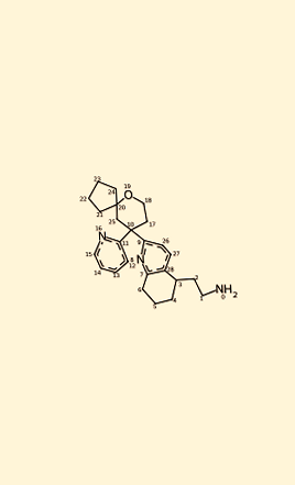 NCCC1CCCc2nc(C3(c4ccccn4)CCOC4(CCCC4)C3)ccc21